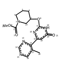 COC(=O)N1CCCC(Oc2nc(-c3ncncc3C)cc(=O)[nH]2)C1